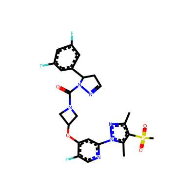 Cc1nn(-c2cc(OC3CN(C(=O)N4N=CCC4c4cc(F)cc(F)c4)C3)c(F)cn2)c(C)c1S(C)(=O)=O